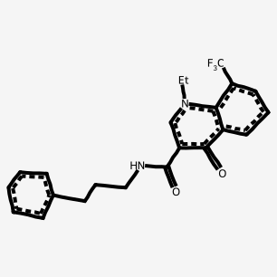 CCn1cc(C(=O)NCCCc2ccccc2)c(=O)c2cccc(C(F)(F)F)c21